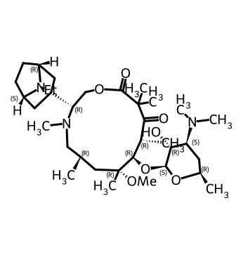 CCN1[C@@H]2CC[C@H]1CC([C@@H]1COC(=O)C(C)(C)C(=O)[C@H](C)[C@@H](O[C@@H]3O[C@H](C)C[C@H](N(C)C)[C@H]3O)[C@](C)(OC)C[C@@H](C)CN1C)C2